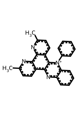 Cc1ccc2c(n1)c1nc(C)ccc1c1c2nc2ccccc2[n+]1-c1ccccc1